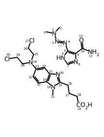 CN(C)/N=N/c1[nH]cnc1C(N)=O.Cn1c(CCCC(=O)O)nc2cc(N(CCCl)CCCl)ccc21